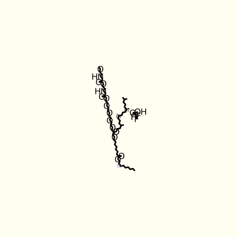 CCCCCC/C=C\COC(=O)CCCCCCCOCC(COCCOCCOCCOCCOC(=O)CNCCOC(=O)CNCCOC)OCCC(C)CCC[C@H](C)CCC[C@H](C)CCCC(C)C.O=C(O)C(F)(F)F